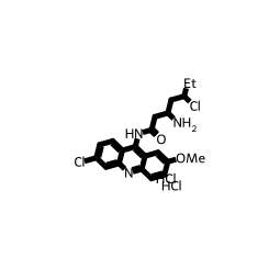 CCC(Cl)CC(N)CC(=O)Nc1c2ccc(Cl)cc2nc2ccc(OC)cc12.Cl.Cl